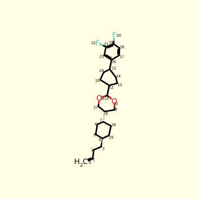 C=CCC[C@H]1CC[C@H](C2COC(C3CCC(c4ccc(F)c(F)c4)CC3)OC2)CC1